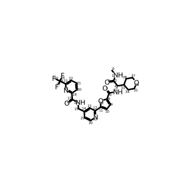 CNC(=O)[C@@H](NC(=O)c1ccc(-c2cc(CNC(=O)c3cccc(C(F)(F)F)n3)ccn2)o1)C1CCOCC1